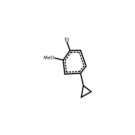 CCc1ccc(C2CC2)cc1OC